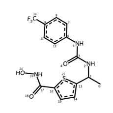 CC(NC(=O)Nc1ccc(C(F)(F)F)cc1)c1ccc(C(=O)NO)s1